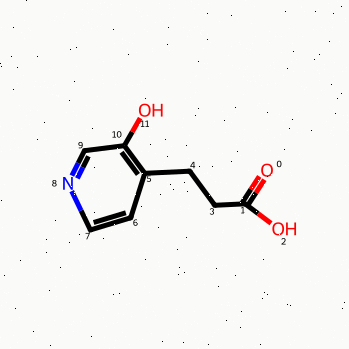 O=C(O)CCc1ccncc1O